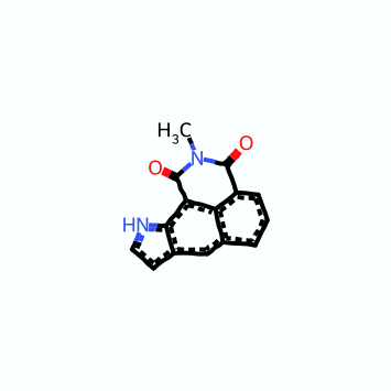 CN1C(=O)c2cccc3cc4cc[nH]c4c(c23)C1=O